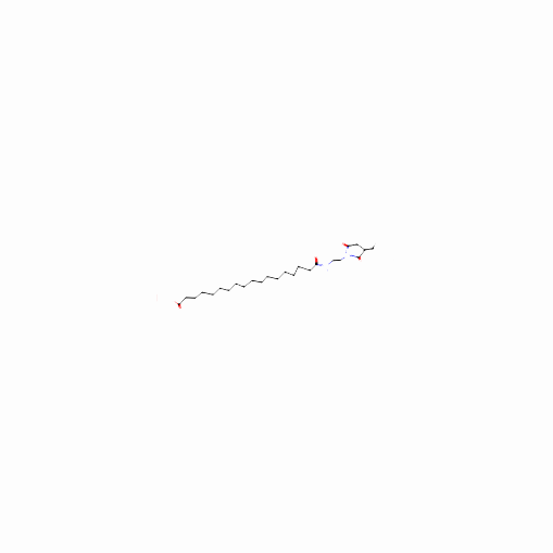 CC(C)C1CC(=O)N(CCNC(=O)CCCCCCCCCCCCCCCCC(=O)O)C1=O